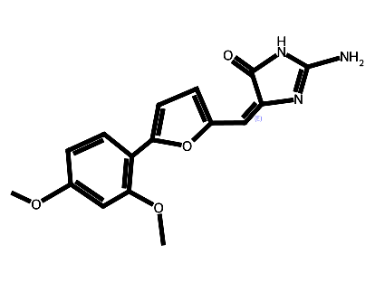 COc1ccc(-c2ccc(/C=C3/N=C(N)NC3=O)o2)c(OC)c1